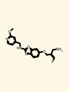 COc1cc(CNc2nc3ccc(OC/C(=C\F)CN)cc3o2)ccn1